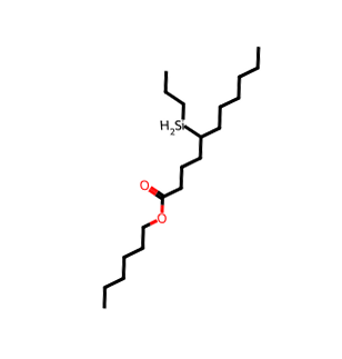 CCCCCCOC(=O)CCCC(CCCCCC)[SiH2]CCC